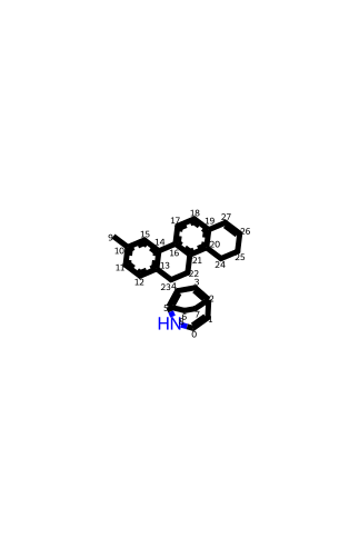 C1=CC2=CC=C(CC2)N1.Cc1ccc2c(c1)-c1ccc3c(c1CC2)CCC=C3